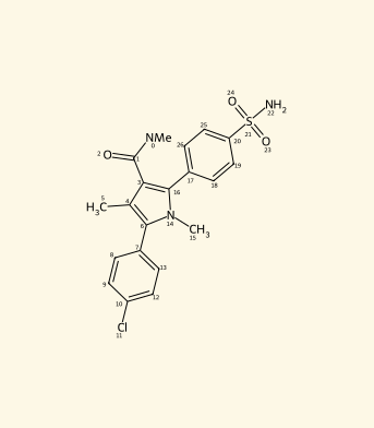 CNC(=O)c1c(C)c(-c2ccc(Cl)cc2)n(C)c1-c1ccc(S(N)(=O)=O)cc1